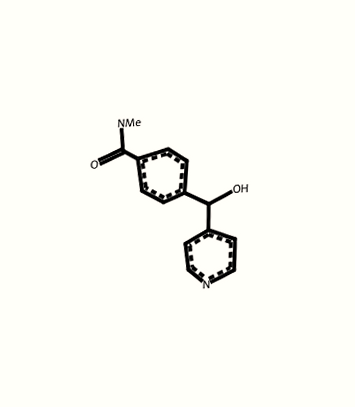 CNC(=O)c1ccc(C(O)c2ccncc2)cc1